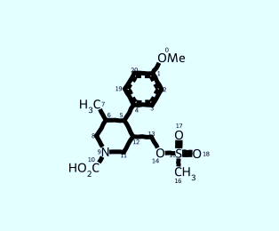 COc1ccc(C2C(C)CN(C(=O)O)CC2COS(C)(=O)=O)cc1